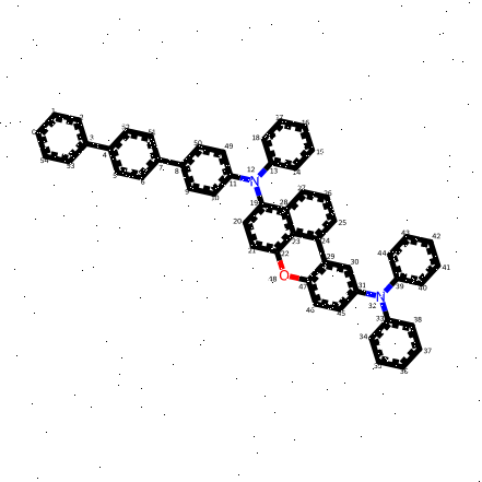 c1ccc(-c2ccc(-c3ccc(N(c4ccccc4)c4ccc5c6c(cccc46)-c4cc(N(c6ccccc6)c6ccccc6)ccc4O5)cc3)cc2)cc1